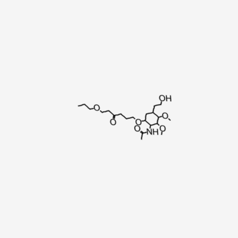 CCCOCCC(=O)CCCOC1CC(CCO)C(OC)C(OC)C1NC(C)=O